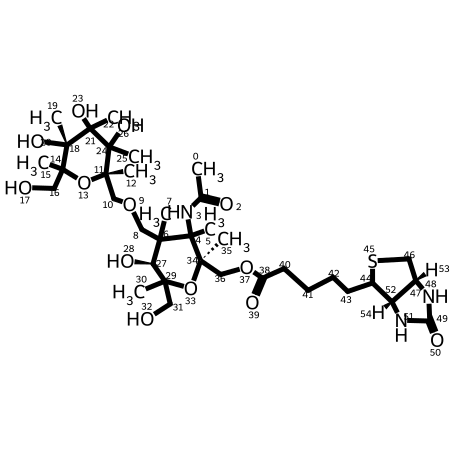 CC(=O)NC1(C)C(C)(COC[C@]2(C)OC(C)(CO)[C@](C)(O)C(C)(O)C2(C)O)[C@H](O)C(C)(CO)O[C@]1(C)COC(=O)CCCCC1SC[C@@H]2NC(=O)N[C@H]12